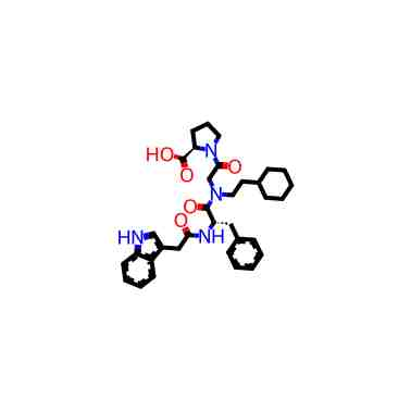 O=C(Cc1c[nH]c2ccccc12)N[C@@H](Cc1ccccc1)C(=O)N(CCC1CCCCC1)CC(=O)N1CCC[C@@H]1C(=O)O